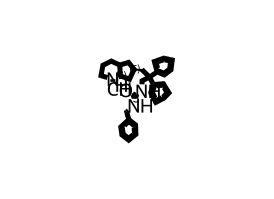 CN1CCCC2C[C@@H](CC(CNC(=O)NCc3ccccc3)(c3ccccc3)c3ccccc3)C[C@@H]21